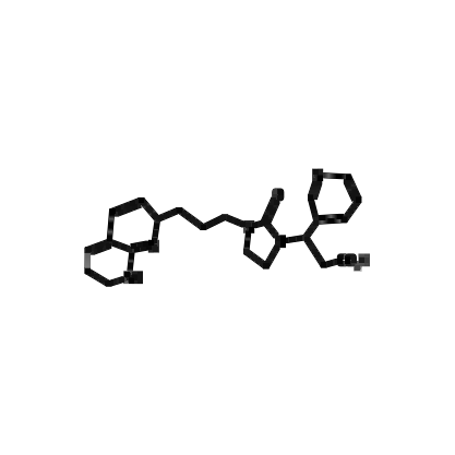 O=C(O)CC(c1cccnc1)N1CCN(CCCC2C=CC3=CCCNC3=N2)C1=O